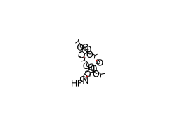 C1CCOC1.CC(C)COC(=O)c1ccccc1C(=O)OCC(C)C.CC(C)COC(=O)c1ccccc1C(=O)OCC(C)C.F.c1ccncc1